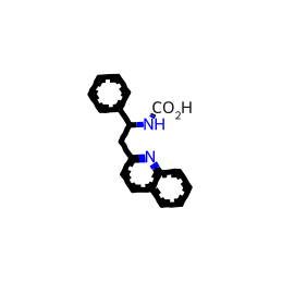 O=C(O)NC(Cc1ccc2ccccc2n1)c1ccccc1